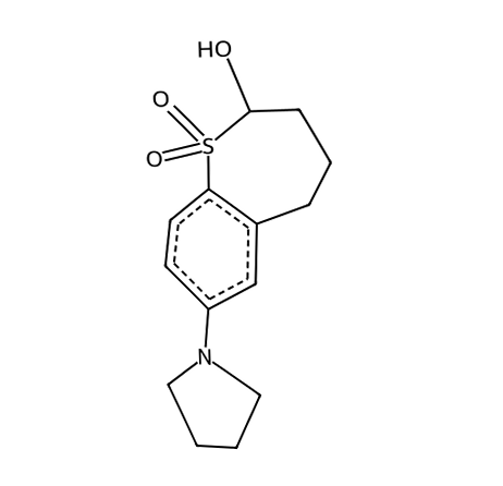 O=S1(=O)c2ccc(N3CCCC3)cc2CCCC1O